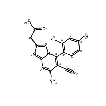 Cc1nc2nc(CC(=O)O)cn2c(-c2ccc(Cl)cc2Cl)c1C#N